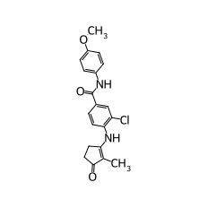 COc1ccc(NC(=O)c2ccc(NC3=C(C)C(=O)CC3)c(Cl)c2)cc1